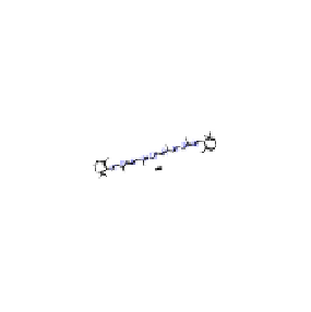 C=C.CC1=C(/C=C/C(C)=C/C=C/C(C)=C/C=C/C=C(C)/C=C/C=C(C)/C=C/C2=C(C)CCCC2(C)C)C(C)(C)CCC1